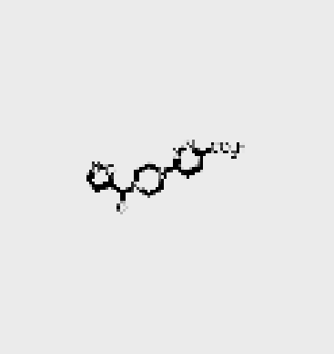 O=C(O)c1ccc(N2CCN(C(=O)c3ccno3)CC2)nn1